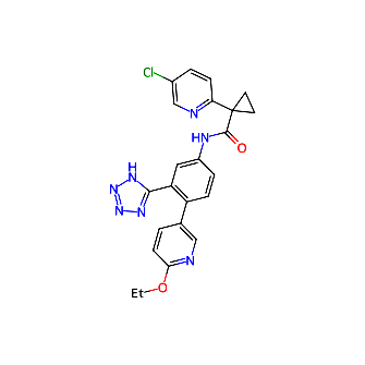 CCOc1ccc(-c2ccc(NC(=O)C3(c4ccc(Cl)cn4)CC3)cc2-c2nnn[nH]2)cn1